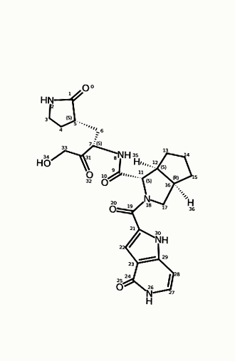 O=C1NCC[C@H]1C[C@H](NC(=O)[C@@H]1[C@H]2CCC[C@H]2CN1C(=O)c1cc2c(=O)[nH]ccc2[nH]1)C(=O)CO